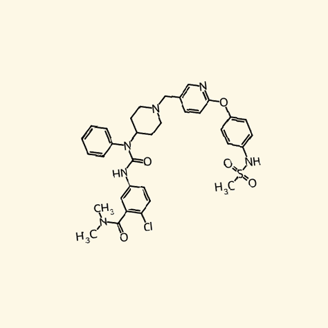 CN(C)C(=O)c1cc(NC(=O)N(c2ccccc2)C2CCN(Cc3ccc(Oc4ccc(NS(C)(=O)=O)cc4)nc3)CC2)ccc1Cl